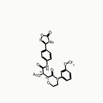 CC(=O)O[C@@H](C(=O)Nc1ccc(-c2noc(=O)[nH]2)cc1)[C@H]1OCCN(c2cccc(OC(F)(F)F)c2)C1=O